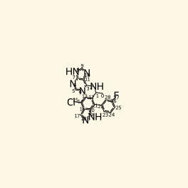 CC(Nc1ncnc2[nH]cnc12)c1cc(Cl)c2cn[nH]c2c1-c1cccc(F)c1